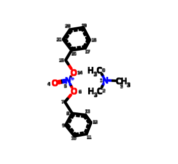 CN(C)C.O=[N+](OCc1ccccc1)OCc1ccccc1